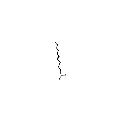 CCCCC/C=C/CCCCC(Cl)Cl